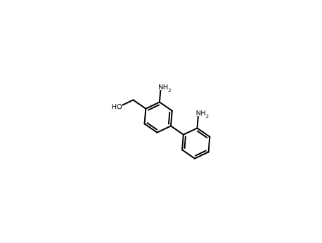 Nc1cc(-c2ccccc2N)ccc1CO